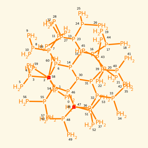 PPP(P(P)P)P(P(P(P)P)P(P)P)P(P(P(P(P)P)P(P)P)P(P(P)P)P(P)P)P(P(P(P(P)P)P(P)P)P(P(P)P)P(P)P)P(P(P(P)P)P(P)P)P(P(P)P)P(P)P